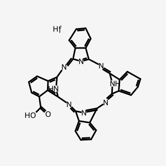 O=C(O)c1cccc2c3nc4nc(nc5[nH]c(nc6nc(nc([nH]3)c12)-c1ccccc1-6)c1ccccc51)-c1ccccc1-4.[Hf]